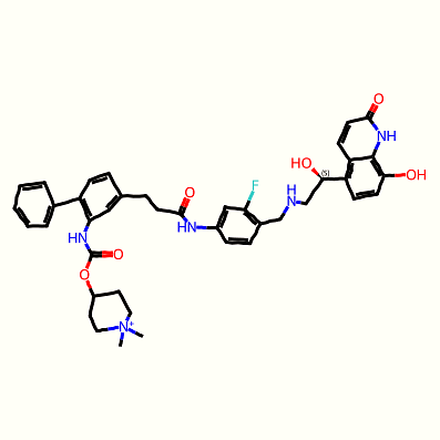 C[N+]1(C)CCC(OC(=O)Nc2cc(CCC(=O)Nc3ccc(CNC[C@@H](O)c4ccc(O)c5[nH]c(=O)ccc45)c(F)c3)ccc2-c2ccccc2)CC1